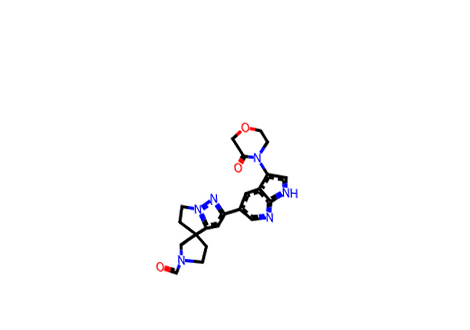 O=CN1CCC2(CCn3nc(-c4cnc5[nH]cc(N6CCOCC6=O)c5c4)cc32)C1